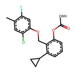 COC(=O)Oc1cccc(C2CC2)c1COc1cc(F)c(C)cc1Cl